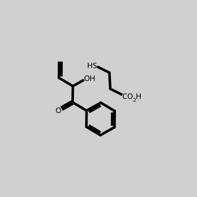 C=CC(O)C(=O)c1ccccc1.O=C(O)CCS